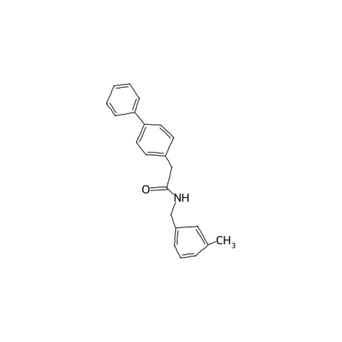 Cc1cccc(CNC(=O)Cc2ccc(-c3ccccc3)cc2)c1